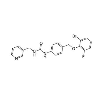 O=C(NCc1cccnc1)Nc1ccc(COc2c(F)cccc2Br)cc1